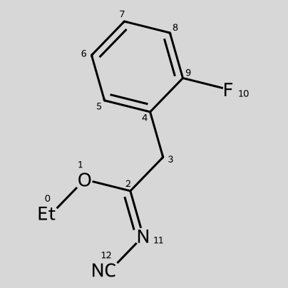 CCOC(Cc1ccccc1F)=NC#N